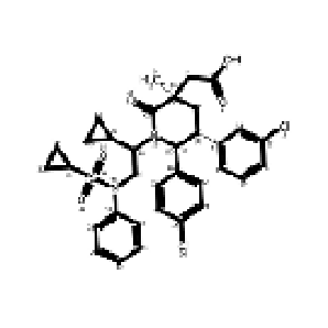 C[C@]1(CC(=O)O)C[C@H](c2cccc(Cl)c2)[C@@H](c2ccc(Cl)cc2)N(C(CN(c2ccccc2)S(=O)(=O)C2CC2)C2CC2)C1=O